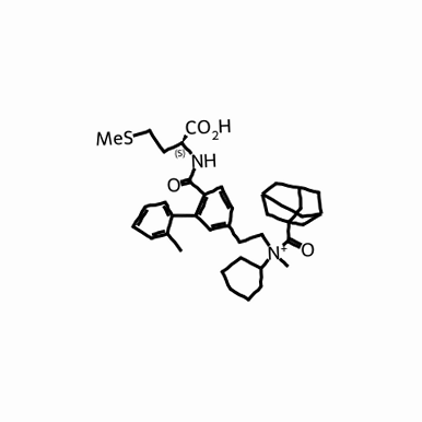 CSCC[C@H](NC(=O)c1ccc(CC[N+](C)(C(=O)C23CC4CC(CC(C4)C2)C3)C2CCCCC2)cc1-c1ccccc1C)C(=O)O